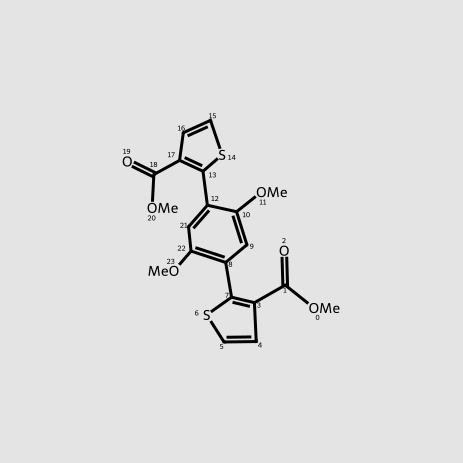 COC(=O)c1ccsc1-c1cc(OC)c(-c2sccc2C(=O)OC)cc1OC